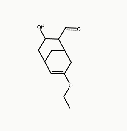 CCOC1=CC2CC(O)C(C=O)C(C1)C2